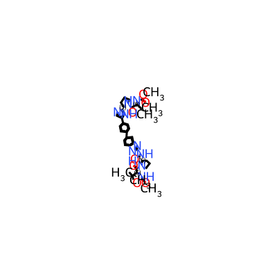 COC(=O)N[C@H](C(=O)N1CCC[C@H]1C(=O)Nc1nc2cc(-c3ccc(-c4cnc([C@@H]5CCCN5C(=O)[C@@H](NC(=O)OC)C(C)C)[nH]4)cc3)ccc2[nH]1)C(C)C